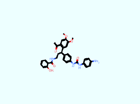 COc1cc(C(C)=O)c(C(CCNC(=O)c2ccccc2O)c2ccc(NC(=O)Nc3ccc(N)cc3)cc2)cc1OC